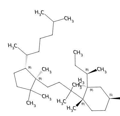 CC[C@@H](C)[C@@]1(C)C[C@@H](O)CC[C@]1(C)C(C)(C)CC[C@]1(C)[C@@H](C(C)CCCC(C)C)CCC1(C)C